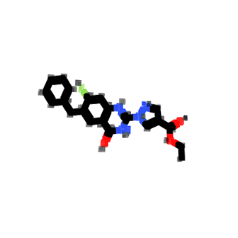 CCOC(=O)c1cnn(-c2nc3cc(F)c(Cc4ccccc4)cc3c(=O)[nH]2)c1